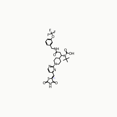 CC(C)(C)N(C(=O)O)C(CC(=O)NCc1cccc(OC(F)(F)F)c1)C1CCN(c2nccc(/C=C3\SC(=O)NC3=O)n2)CC1